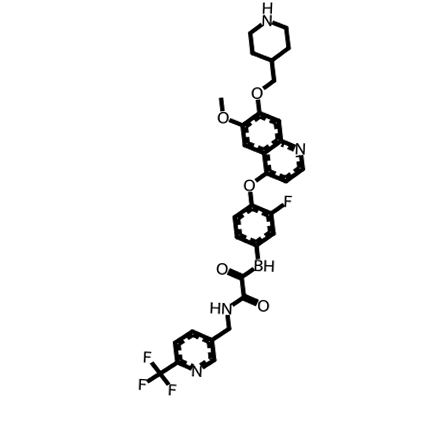 COc1cc2c(Oc3ccc(BC(=O)C(=O)NCc4ccc(C(F)(F)F)nc4)cc3F)ccnc2cc1OCC1CCNCC1